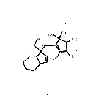 CC1=C(C)C(C)(C)[C]([Hf][C]2(CC(C)C)C=CC3CCCCC32)=C1C